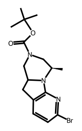 C[C@@H]1CN(C(=O)OC(C)(C)C)CC2Cc3ccc(Br)nc3N21